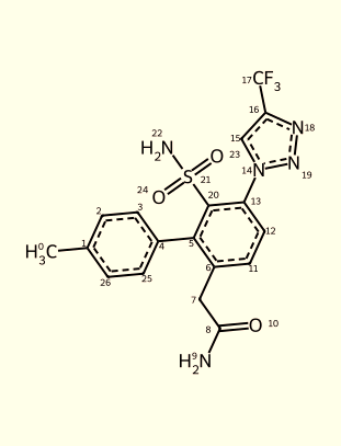 Cc1ccc(-c2c(CC(N)=O)ccc(-n3cc(C(F)(F)F)nn3)c2S(N)(=O)=O)cc1